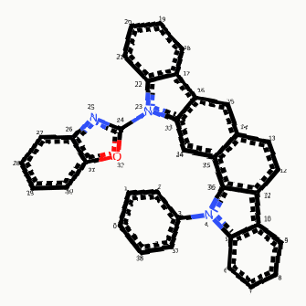 c1ccc(-n2c3ccccc3c3ccc4cc5c6ccccc6n(-c6nc7ccccc7o6)c5cc4c32)cc1